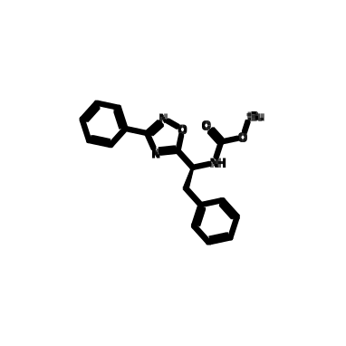 CC(C)(C)OC(=O)N[C@@H](Cc1ccccc1)c1nc(-c2ccccc2)no1